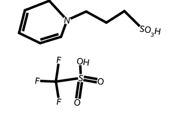 O=S(=O)(O)C(F)(F)F.O=S(=O)(O)CCCN1C=CC=CC1